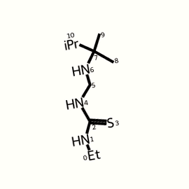 CCNC(=S)NCNC(C)(C)C(C)C